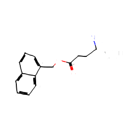 N[C@@H](CCC(=O)OCc1cccc2ccccc12)C(=O)O